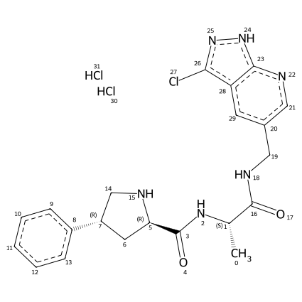 C[C@H](NC(=O)[C@H]1C[C@H](c2ccccc2)CN1)C(=O)NCc1cnc2[nH]nc(Cl)c2c1.Cl.Cl